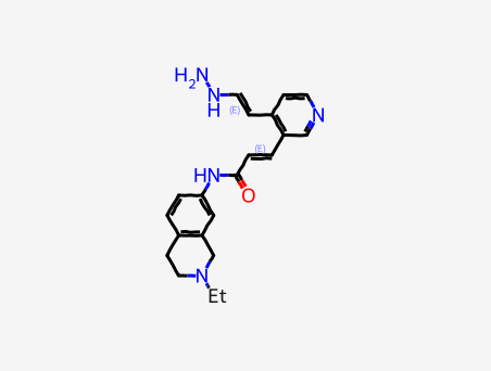 CCN1CCc2ccc(NC(=O)/C=C/c3cnccc3/C=C/NN)cc2C1